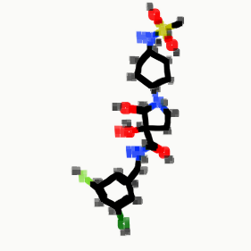 CS(=O)(=O)N[C@H]1CC[C@H](N2CCC(O)(C(=O)NCc3cc(F)cc(Cl)c3)C2=O)CC1